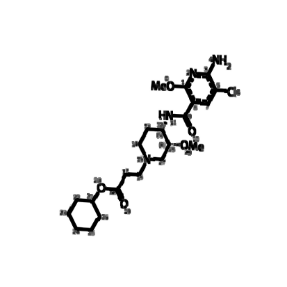 COc1nc(N)c(Cl)cc1C(=O)N[C@H]1CCN(CCC(=O)OC2CCCCC2)C[C@H]1OC